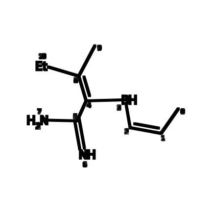 C/C=C\B/C(C(=N)N)=C(\C)CC